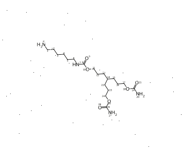 NCCCCCCNC(=O)OCCCC(CCCOC(N)=O)CCCOC(N)=O